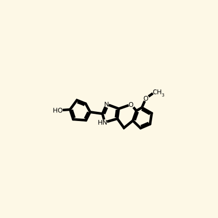 COc1cccc2c1Oc1nc(-c3ccc(O)cc3)[nH]c1C2